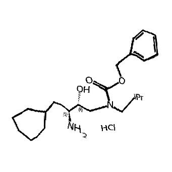 CC(C)CN(C[C@@H](O)[C@@H](N)CC1CCCCC1)C(=O)OCc1ccccc1.Cl